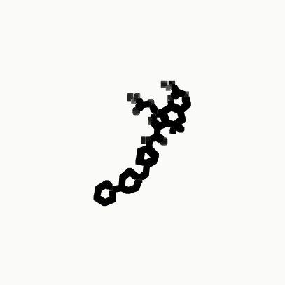 CC1(C)Cc2cnc(N)nc2-c2c1c(C(=O)Nc1ccc(CN3CCC(N4CCCCC4)CC3)cc1)nn2OC(=O)C(F)(F)F